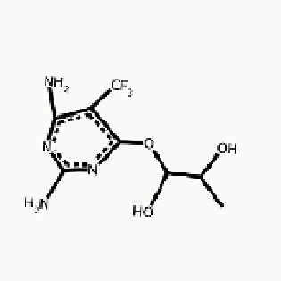 CC(O)C(O)Oc1nc(N)nc(N)c1C(F)(F)F